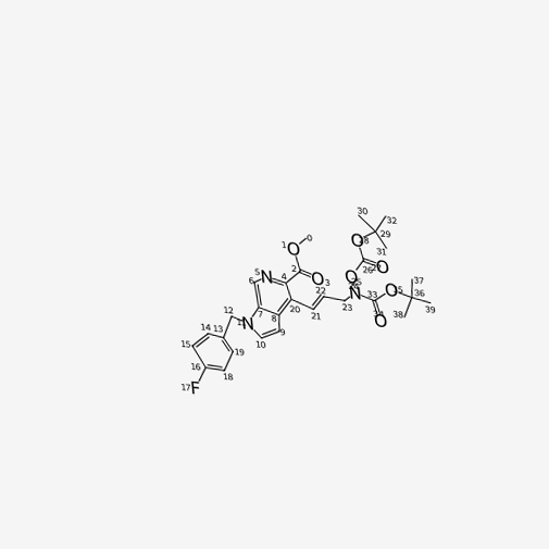 COC(=O)c1ncc2c(ccn2Cc2ccc(F)cc2)c1C=CCN(OC(=O)OC(C)(C)C)C(=O)OC(C)(C)C